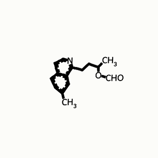 Cc1ccc2ccnc(CCC(C)OC=O)c2c1